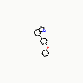 c1ccc(Oc2ccc(-c3cccc4cc[nH]c34)cc2)cc1